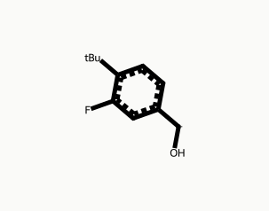 CC(C)(C)c1ccc([CH]O)cc1F